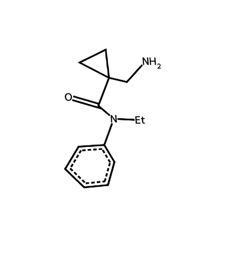 CCN(C(=O)C1(CN)CC1)c1ccccc1